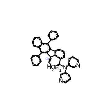 C=C(c1cccc2c1/C(=C\C)c1c-2c(-c2ccccc2)c2ccccc2c1-c1ccccc1)N(c1cccnc1)c1cccnc1